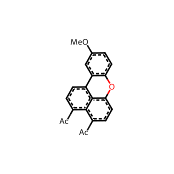 COc1ccc2c(c1)-c1ccc(C(C)=O)c3c(C(C)=O)ccc(c13)O2